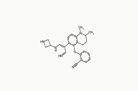 CC1CCc2c(ccc(/C(C=N)=C/NC3CNC3)c2Oc2ccccc2C#N)N1C